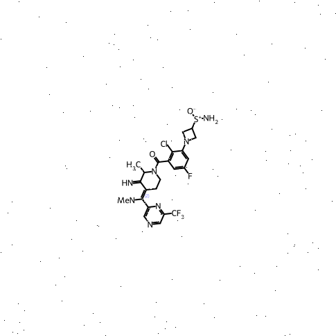 CN/C(=C1/CCN(C(=O)c2cc(F)cc(N3CC([S+](N)[O-])C3)c2Cl)C(C)C1=N)c1cncc(C(F)(F)F)n1